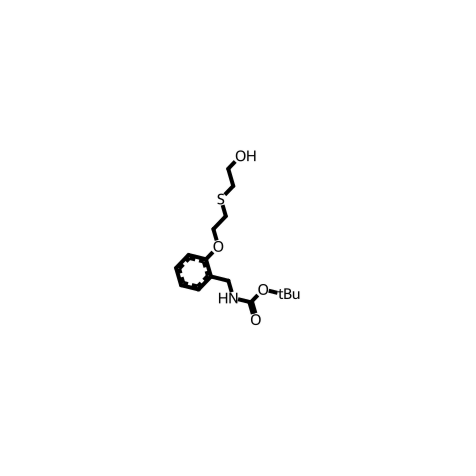 CC(C)(C)OC(=O)NCc1ccccc1OCCSCCO